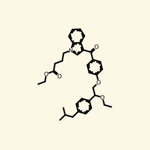 CCOC(=O)CCCn1cc(C(=O)c2ccc(OCC(OCC)c3ccc(CC(C)C)cc3)cc2)c2ccccc21